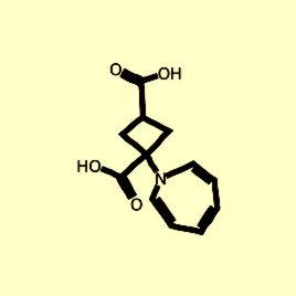 O=C(O)C1CC(C(=O)O)(N2C=CC=CC=C2)C1